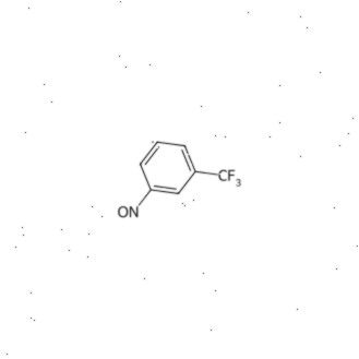 O=Nc1c[c]cc(C(F)(F)F)c1